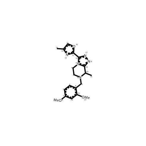 COc1ccc(CN2CCn3c(-c4nc(C)co4)nnc3C2C)c(OC)c1